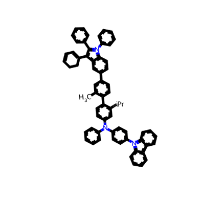 Cc1cc(-c2ccc3c(c2)c(C2=CC=CCC2)c(-c2ccccc2)n3-c2ccccc2)ccc1-c1ccc(N(c2ccccc2)c2ccc(-n3c4ccccc4c4ccccc43)cc2)cc1C(C)C